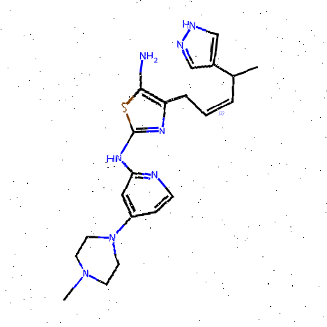 CC(/C=C\Cc1nc(Nc2cc(N3CCN(C)CC3)ccn2)sc1N)c1cn[nH]c1